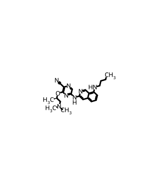 CCCCNc1cccc2cc(Nc3cnc(C#N)c(O[C@H](C)CN(C)C)n3)ncc12